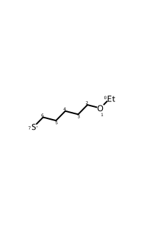 CCOCCCCC[S]